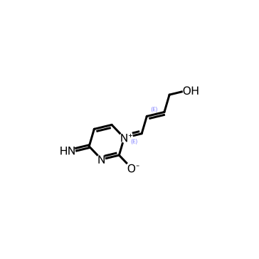 N=C1C=C/[N+](=C\C=C\CO)C([O-])=N1